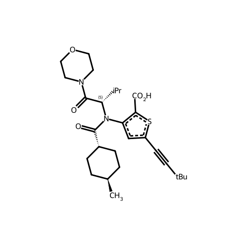 CC(C)[C@@H](C(=O)N1CCOCC1)N(c1cc(C#CC(C)(C)C)sc1C(=O)O)C(=O)[C@H]1CC[C@H](C)CC1